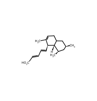 CC1=CCC2C[C@@H](C)C[C@@H](C)[C@@H]2[C@H]1/C=C/C=C/C(=O)O